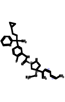 C=C(/C=C\C=C/C)[C@]1(OC)CN[C@@H](C(=O)Nc2cc(C(N)(CCC3CC3)c3ccccn3)ccc2F)C1